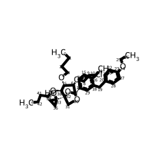 CCCCO[C@@H]1[C@@H](OCCCC)[C@@]2(c3ccc(Cl)c(Cc4ccc(OCC)cc4)c3)OC[C@](C3(O)CC3)(O2)[C@H]1OCCCC